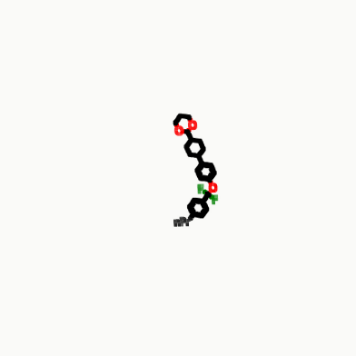 CCCc1ccc(C(F)(F)Oc2ccc(C3CCC(C4OCCCO4)CC3)cc2)cc1